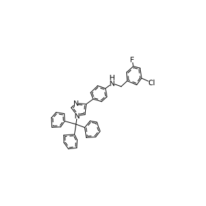 Fc1cc(Cl)cc(CNc2ccc(-c3cn(C(c4ccccc4)(c4ccccc4)c4ccccc4)cn3)cc2)c1